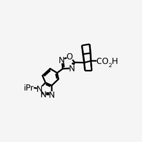 CC(C)n1nnc2cc(-c3noc(C45C6C7C8C6C4(C(=O)O)C8C75)n3)ccc21